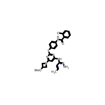 C/C=C/C(=N\N)Nc1cc(N2CC(OC)C2)nc(Sc2ccc(NC(=O)c3ccccc3Cl)cc2)n1